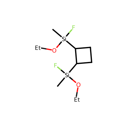 CCO[Si](C)(F)C1CCC1[Si](C)(F)OCC